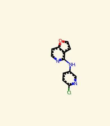 Clc1ccc(Nc2nccc3occc23)cn1